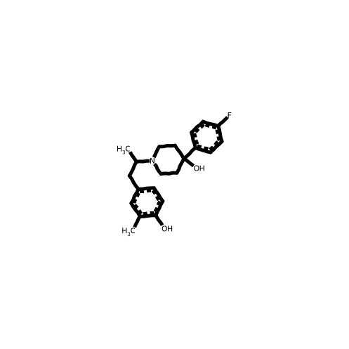 Cc1cc(CC(C)N2CCC(O)(c3ccc(F)cc3)CC2)ccc1O